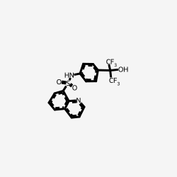 O=S(=O)(Nc1ccc(C(O)(C(F)(F)F)C(F)(F)F)cc1)c1cccc2cccnc12